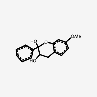 COc1ccc2c(c1)OC(O)(c1ccccc1)C(O)C2